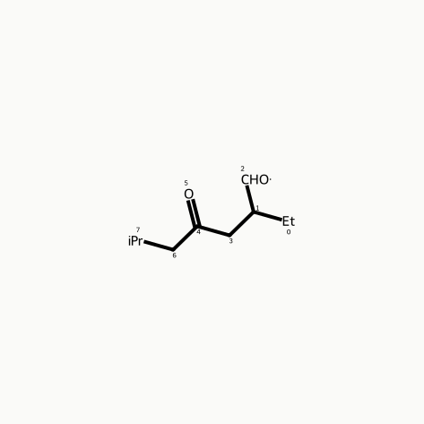 CCC([C]=O)CC(=O)CC(C)C